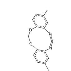 Cc1ccc2c(c1)N=C=Nc1cc(C)ccc1OCO2